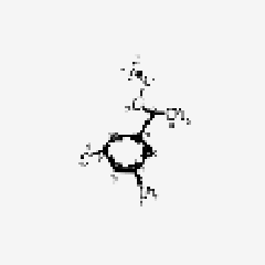 C=NOC(C)c1cc(C)cc(Cl)c1